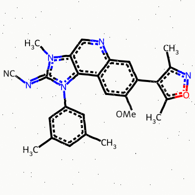 COc1cc2c(cc1-c1c(C)noc1C)ncc1c2n(-c2cc(C)cc(C)c2)/c(=N/C#N)n1C